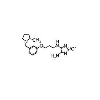 CC1CCCN1Cc1cccc(OCCCNc2n[s+]([O-])nc2N)c1